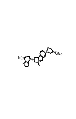 COC1CCN(c2ccc3c(c2)CN2C(C)CN(c4ccc(C#N)c5ncccc45)CC32)C1